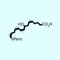 CCCCC/C=C\C/C=C\C=C/C(O)C/C=C\CCCC(=O)O